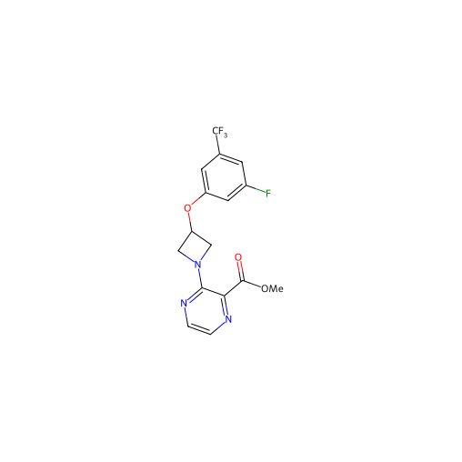 COC(=O)c1nccnc1N1CC(Oc2cc(F)cc(C(F)(F)F)c2)C1